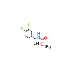 CC(C)(C)OC(=O)NC(C#N)c1ccc(F)c(F)c1